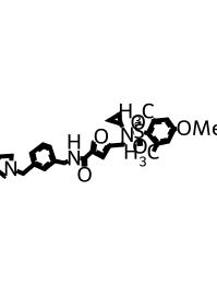 COc1cc(C)c(S(=O)(=O)N(Cc2cc(C(=O)NCc3cccc(CN4CCCC4)c3)co2)C2CC2)c(C)c1